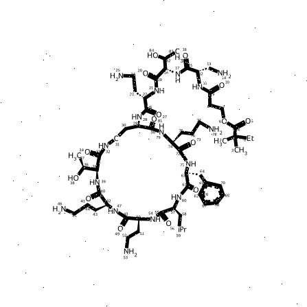 CCC(C)(C)C(=O)OCCC(=O)N[C@@H](CN)C(=O)N[C@H](C(=O)N[C@@H](CCN)C(=O)N[C@H]1CCNC(=O)[C@H]([C@H](C)O)NC(=O)[C@H](CCCN)NC(=O)[C@H](CCN)NC(=O)[C@H](CC(C)C)NC(=O)[C@@H](Cc2ccccc2)NC(=O)[C@H](CCCN)NC1=O)C(C)O